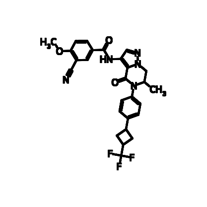 COc1ccc(C(=O)Nc2cnn3c2C(=O)N(c2ccc(C4CC(C(F)(F)F)C4)cc2)C(C)C3)cc1C#N